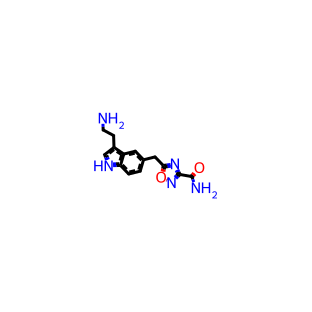 NCCc1c[nH]c2ccc(Cc3nc(C(N)=O)no3)cc12